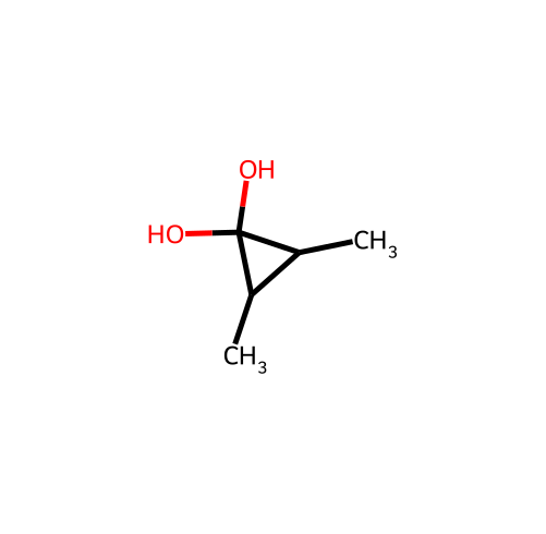 CC1C(C)C1(O)O